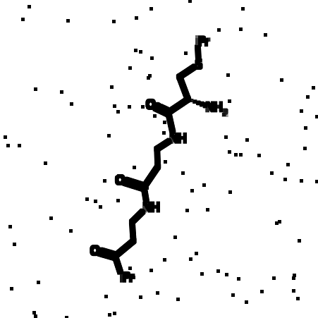 CC(C)SC[C@H](N)C(=O)NCCC(=O)NCCC(=O)C(C)C